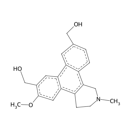 COc1cc2c3c(c4ccc(CO)cc4c2cc1CO)CN(C)CC3